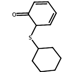 O=C1C=CC=CC1SC1CCCCC1